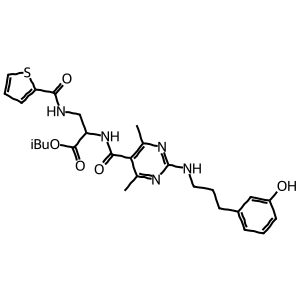 Cc1nc(NCCCc2cccc(O)c2)nc(C)c1C(=O)NC(CNC(=O)c1cccs1)C(=O)OCC(C)C